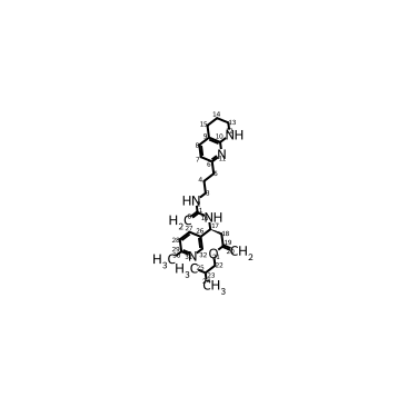 C=C(NCCCc1ccc2c(n1)NCCC2)N[C@@H](CC(=C)OCC(C)C)c1ccc(C)nc1